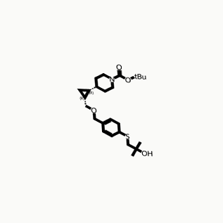 CC(C)(O)CSC1C=CC(COC[C@@H]2C[C@@H]2C2CCN(C(=O)OC(C)(C)C)CC2)=CC1